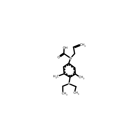 C=CCN(C(=O)O)c1cc(C)c(N(CC)CC)c(C)c1